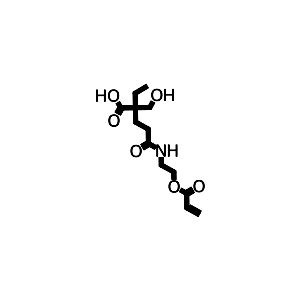 C=CC(=O)OCCNC(=O)CCC(CC)(CO)C(=O)O